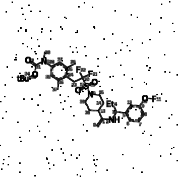 C=C(NC(CC)c1cccc(OF)c1)C1CCN(S(=O)(=O)C(F)(F)Cc2c(C)cc(N(C)C(=O)OC(C)(C)C)cc2C)CC1